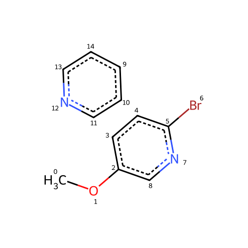 COc1ccc(Br)nc1.c1ccncc1